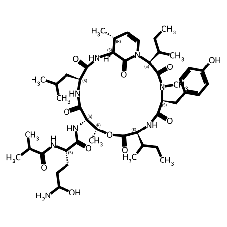 CCC(C)[C@@H]1NC(=O)[C@H](Cc2ccc(O)cc2)N(C)C(=O)[C@H](C(C)CC)N2C=C[C@@H](C)[C@H](NC(=O)[C@H](CC(C)C)NC(=O)[C@@H](NC(=O)[C@H](CCC(N)O)NC(=O)C(C)C)[C@@H](C)OC1=O)C2=O